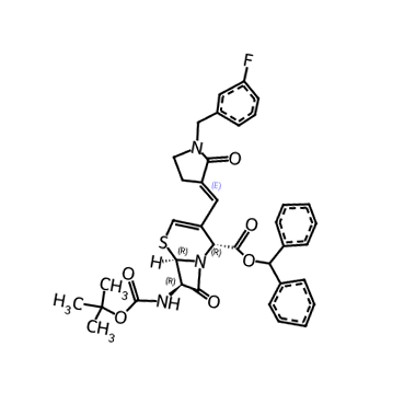 CC(C)(C)OC(=O)N[C@@H]1C(=O)N2[C@@H](C(=O)OC(c3ccccc3)c3ccccc3)C(/C=C3\CCN(Cc4cccc(F)c4)C3=O)=CS[C@H]12